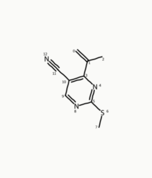 C=C(C)c1nc(SC)ncc1C#N